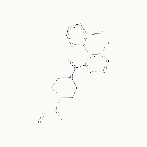 C=CC(=O)N1CCN(C(=O)c2cccc(Cl)c2-c2ccccc2Cl)CC1